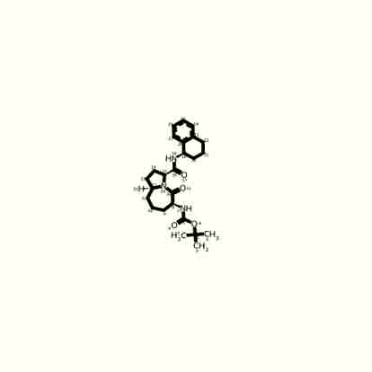 CC(C)(C)OC(=O)N[C@H]1CCC[C@H]2CC[C@@H](C(=O)N[C@@H]3CCCc4ccccc43)N2C1=O